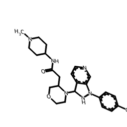 CN1CCC(NC(=O)CC2COCCN2C2NN(c3ccc(Cl)cc3)c3cnccc32)CC1